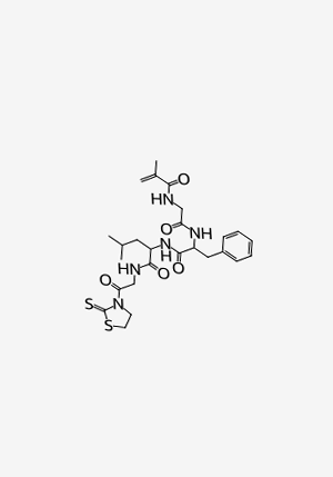 C=C(C)C(=O)NCC(=O)NC(Cc1ccccc1)C(=O)NC(CC(C)C)C(=O)NCC(=O)N1CCSC1=S